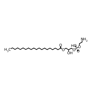 CCCCCCCCCCCCCCCCCCCC(=O)OCC(O)COP(=O)(O)OCCN